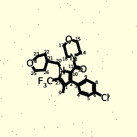 Cc1c(-c2ccc(Cl)cc2)c(C(=O)N2CCOCC2)n(CC2CCOCC2)c1C(F)(F)F